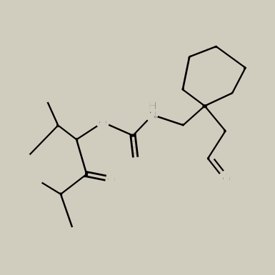 CC(C)C(=O)C(OC(=O)NCC1(CC=O)CCCCC1)C(C)C